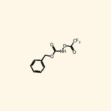 O=C(NOC(=O)C(F)(F)F)OCc1ccccc1